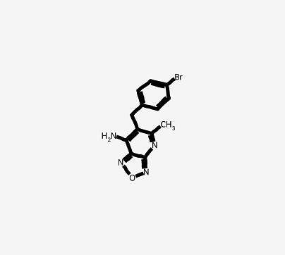 Cc1nc2nonc2c(N)c1Cc1ccc(Br)cc1